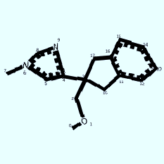 COCC1(c2cn(C)cn2)Cc2ccccc2C1